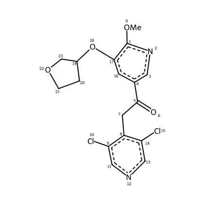 COc1ncc(C(=O)Cc2c(Cl)cncc2Cl)cc1OC1CCOC1